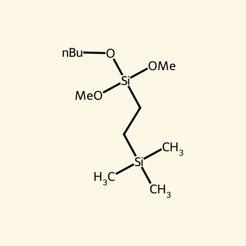 CCCCO[Si](CC[Si](C)(C)C)(OC)OC